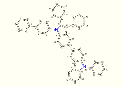 c1ccc(-c2ccc(-n3c(-c4ccccc4)c(-c4ccccc4)c4cc(-c5ccc6c(c5)c5ccccc5n6-c5ccccc5)ccc43)cc2)cc1